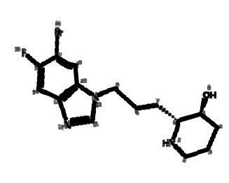 O[C@H]1CCCN[C@@H]1CCCn1cnc2cc(F)c(Br)cc21